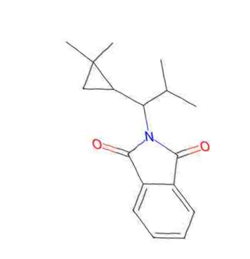 CC(C)C(C1CC1(C)C)N1C(=O)c2ccccc2C1=O